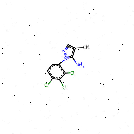 N#Cc1cnn(-c2ccc(Cl)c(Cl)c2Cl)c1N